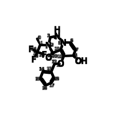 C[C@@H](N1CNN2C=CC(O)C(OCc3ccccc3)=C2C1=O)C(F)(F)F